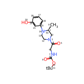 C[C@H]1CN(C(=O)CNC(=O)OC(C)(C)C)CCN1c1cccc(O)c1